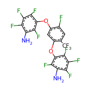 Nc1c(F)c(F)c(F)c(Oc2cc(Oc3c(F)c(N)c(F)c(F)c3F)c(C(F)(F)F)cc2F)c1F